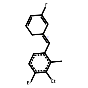 CCc1c(Br)ccc(/C=C2/C=C(F)C=CC2)c1C